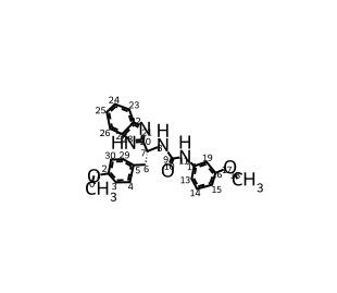 COc1ccc(C[C@@H](NC(=O)Nc2cccc(OC)c2)c2nc3ccccc3[nH]2)cc1